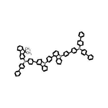 CC1(C)c2ccccc2-c2ccc(N(c3ccc(-c4ccccc4)cc3)c3ccc(-c4ccc5c(c4)c4ccccc4n5-c4ccc(-c5cccc6c5c5ccccc5n6-c5ccc(-c6ccc(N(c7ccc(-c8ccccc8)cc7)c7ccc(-c8ccccc8)cc7)cc6)cc5)cc4)cc3)cc21